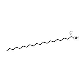 CCCCCCCCCCCCCCCCCCCC(O)Cl